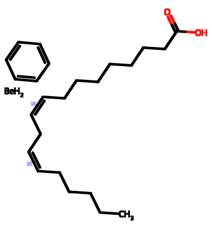 CCCCC/C=C\C/C=C\CCCCCCCC(=O)O.[BeH2].c1ccccc1